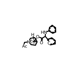 CC(=O)C[N+]12CCC(CC1)[C@@H](OC(=O)C(Nc1ccccc1)c1ccccc1)C2